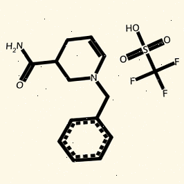 NC(=O)C1CC=CN(Cc2ccccc2)C1.O=S(=O)(O)C(F)(F)F